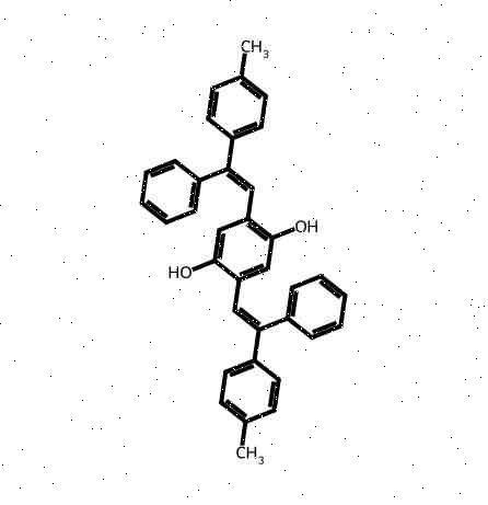 Cc1ccc(/C(=C/c2cc(O)c(/C=C(\c3ccccc3)c3ccc(C)cc3)cc2O)c2ccccc2)cc1